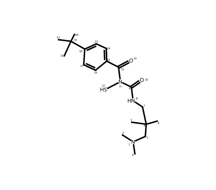 CN(C)CC(C)(C)CNC(=O)N(S)C(=O)c1ccc(C(C)(C)C)cc1